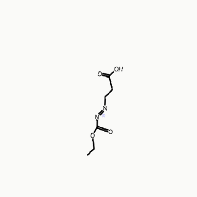 CCOC(=O)/N=N/CCC(=O)O